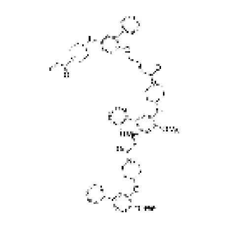 C=CC(=O)N1CCC(Oc2ccc(OC/C=C/C(=O)N3CCC(Oc4cc(-c5ccccc5OC)c(/C=C/C(=O)N5CCC(Oc6cc(-c7ccccc7)ccc6OC)CC5)cc4OC)CC3)c(-c3ccccc3)c2)CC1